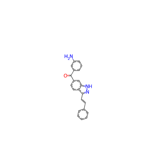 Nc1cccc(C(=O)c2ccc3c(C=Cc4ccccc4)n[nH]c3c2)c1